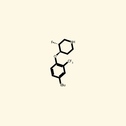 CC(C)(C)c1ccc(O[C@@H]2CCNC[C@H]2F)c(C(F)(F)F)c1